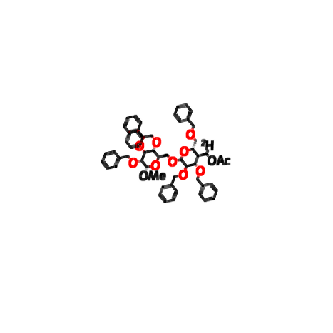 [2H]C(OC(C)=O)[C@H]1[C@H](OCc2ccccc2)[C@@H](OCc2ccccc2)C(OC[C@H]2O[C@H](OC)[C@H](OCc3ccccc3)[C@@H](OCc3ccccc3)[C@@H]2OCc2ccccc2)O[C@@H]1COCc1ccccc1